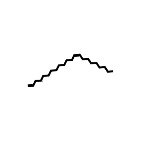 C=CC[C]CCCCCCCC/C=C\CCCCCCCC